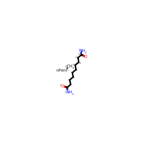 CCCCCC.NC(=O)CCCCCCCCC(N)=O